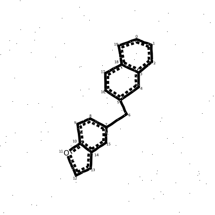 c1ccc2cc(Cc3ccc4occc4c3)ccc2c1